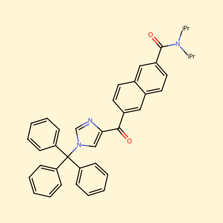 CC(C)N(C(=O)c1ccc2cc(C(=O)c3cn(C(c4ccccc4)(c4ccccc4)c4ccccc4)cn3)ccc2c1)C(C)C